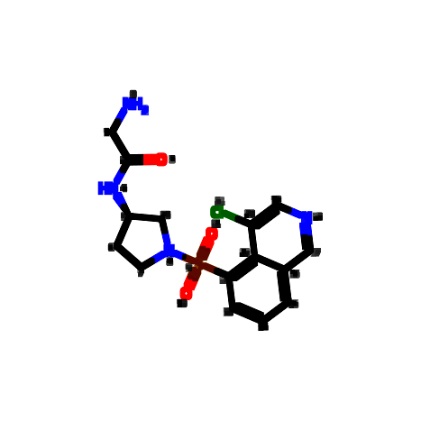 NCC(=O)N[C@@H]1CCN(S(=O)(=O)c2cccc3cncc(Cl)c23)C1